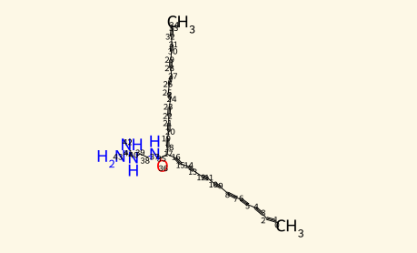 CC#CC#CC#CC#CC#CC#CC#CC#CC(C#CC#CC#CC#CC#CC#CC#CC#CC)C(=O)NCCNC(=N)N